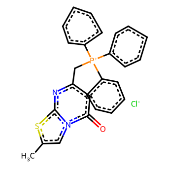 Cc1cn2c(=O)cc(C[P+](c3ccccc3)(c3ccccc3)c3ccccc3)nc2s1.[Cl-]